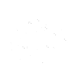 O=C(NC1CC1)c1cccc(N2C=C(Nc3cc(C4CC4)[nH]n3)[N+]3C=CN=C3C2)c1